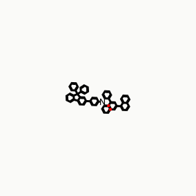 c1ccc(N(c2ccc(-c3ccc4c(c3)C(c3ccccc3)(c3ccccc3)c3ccccc3-4)cc2)c2ccccc2-c2cccc(-c3cccc4ccccc34)c2)cc1